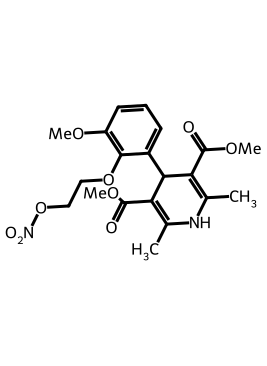 COC(=O)C1=C(C)NC(C)=C(C(=O)OC)C1c1cccc(OC)c1OCCO[N+](=O)[O-]